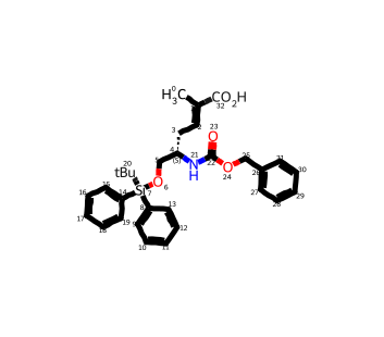 CC(=CC[C@@H](CO[Si](c1ccccc1)(c1ccccc1)C(C)(C)C)NC(=O)OCc1ccccc1)C(=O)O